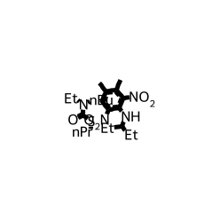 CCC(CC)Nc1c([N+](=O)[O-])cc(C)c(C)c1[N+](=O)[O-].CCCCN(CC)C(=O)SCCC